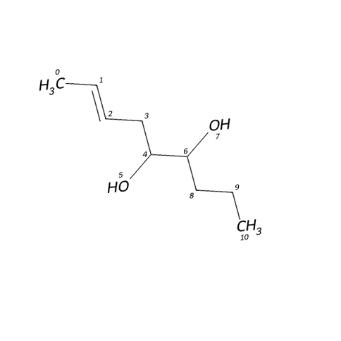 C/C=C/CC(O)C(O)CCC